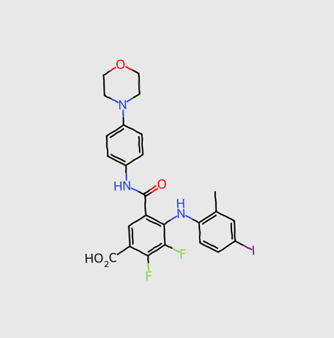 Cc1cc(I)ccc1Nc1c(C(=O)Nc2ccc(N3CCOCC3)cc2)cc(C(=O)O)c(F)c1F